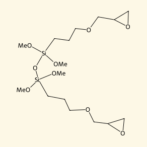 CO[Si](CCCOCC1CO1)(OC)O[Si](CCCOCC1CO1)(OC)OC